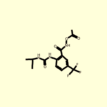 CC(=O)ONC(=O)c1cc(C(F)(F)F)ccc1NC(=O)NC(C)C